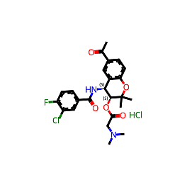 CC(=O)c1ccc2c(c1)[C@H](NC(=O)c1ccc(F)c(Cl)c1)[C@H](OC(=O)CN(C)C)C(C)(C)O2.Cl